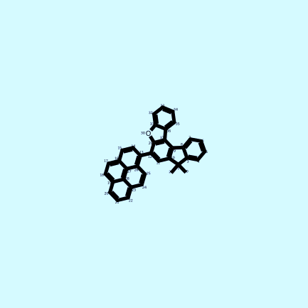 CC1(C)c2ccccc2-c2c1cc(-c1ccc3ccc4cccc5ccc1c3c45)c1oc3ccccc3c21